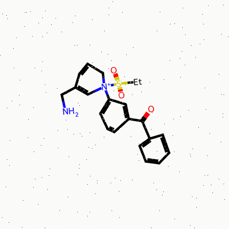 CCS(=O)(=O)[N+]1(c2cccc(C(=O)c3ccccc3)c2)C=C(CN)C=CC1